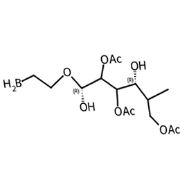 BCCO[C@@H](O)C(OC(C)=O)C(OC(C)=O)[C@H](O)C(C)COC(C)=O